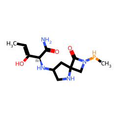 CC=C(O)[C@H](NC1CNC2(C1)CN(PC)C2=O)C(N)=O